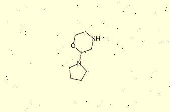 C1CCN([C]2CNCCO2)C1